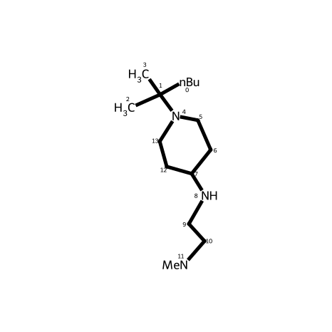 CCCCC(C)(C)N1CCC(NCCNC)CC1